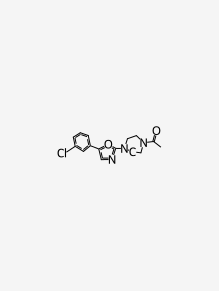 CC(=O)N1CCN(c2ncc(-c3cccc(Cl)c3)o2)CC1